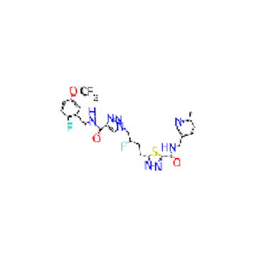 Cc1ccc(CNC(=O)c2nnc(CCC(F)Cn3cc(C(=O)NCc4cc(OC(F)(F)F)ccc4F)nn3)s2)cn1